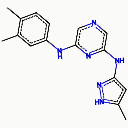 Cc1cc(Nc2cncc(Nc3ccc(C)c(C)c3)n2)n[nH]1